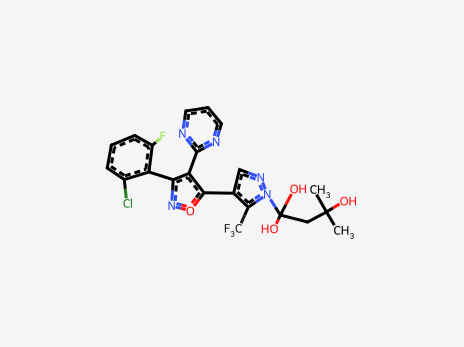 CC(C)(O)CC(O)(O)n1ncc(-c2onc(-c3c(F)cccc3Cl)c2-c2ncccn2)c1C(F)(F)F